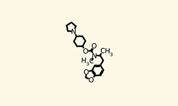 CC(Cc1ccc2c(c1)OCO2)N(C)C(=O)OC1CCC(N2CCCC2)CC1